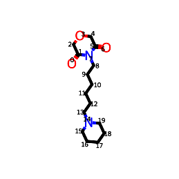 O=C1COCC(=O)N1CCCCCCN1CCCCC1